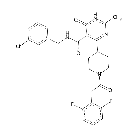 Cc1nc(C2CCN(C(=O)Cc3c(F)cccc3F)CC2)c(C(=O)NCc2cccc(Cl)c2)c(=O)[nH]1